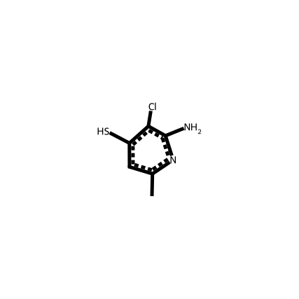 Cc1cc(S)c(Cl)c(N)n1